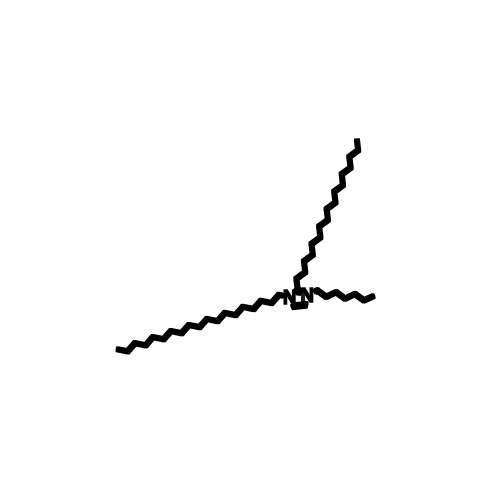 CCCCCCCCCCCCCCCCCCCn1cc[n+](CCCCCCC)c1CCCCCCCCCCCCCCCCC